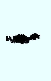 COC[C@H]1C(=O)N(Cc2ccc3c(N)ncnc3c2)CCN1C(=O)C=Cc1ccc(Br)cc1